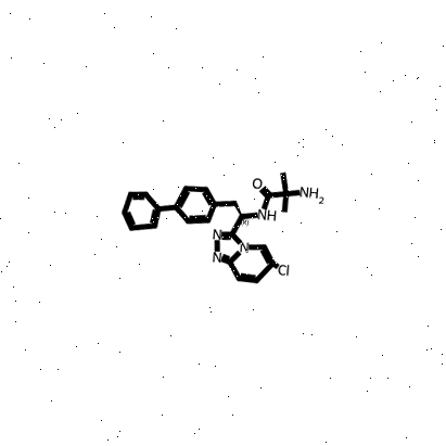 CC(C)(N)C(=O)N[C@H](Cc1ccc(-c2ccccc2)cc1)c1nnc2ccc(Cl)cn12